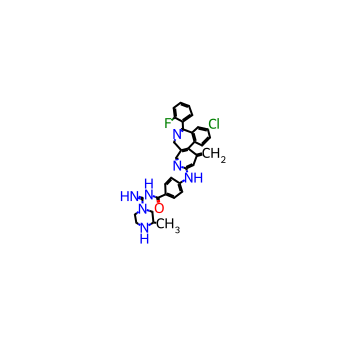 C=C1C=C(Nc2ccc(C(=O)NC(=N)N3CCNC(C)C3)cc2)N=CC2=C1c1ccc(Cl)cc1C(c1ccccc1F)=NC2